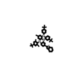 Cc1cc2c3c(c1)N(c1c(C)cc(C(C)(C)C)cc1C)c1ccc(-c4cc5ccccc5s4)cc1B3c1cc(C(C)(C)C)ccc1N2c1ccc(C(C)(C)C)cc1